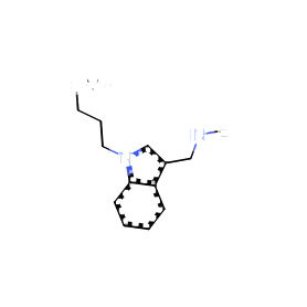 CCNCc1cn(CCCOC)c2ccccc12